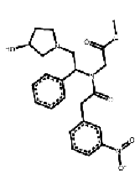 COC(=O)CN(C(=O)Cc1cccc([N+](=O)[O-])c1)[C@H](CN1CC[C@H](O)C1)c1ccccc1